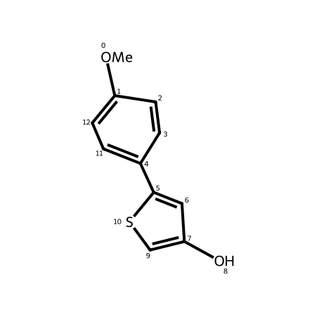 COc1ccc(-c2cc(O)cs2)cc1